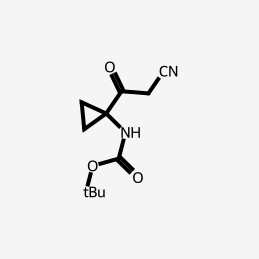 CC(C)(C)OC(=O)NC1(C(=O)CC#N)CC1